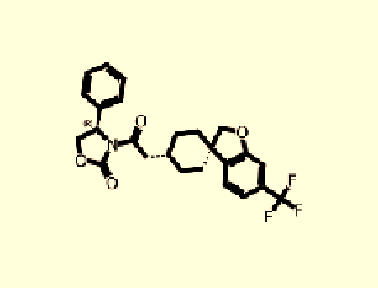 O=C(C[C@H]1CC[C@]2(CC1)COc1cc(C(F)(F)F)ccc12)N1C(=O)OC[C@H]1c1ccccc1